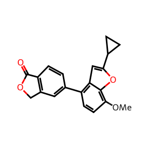 COc1ccc(-c2ccc3c(c2)COC3=O)c2cc(C3CC3)oc12